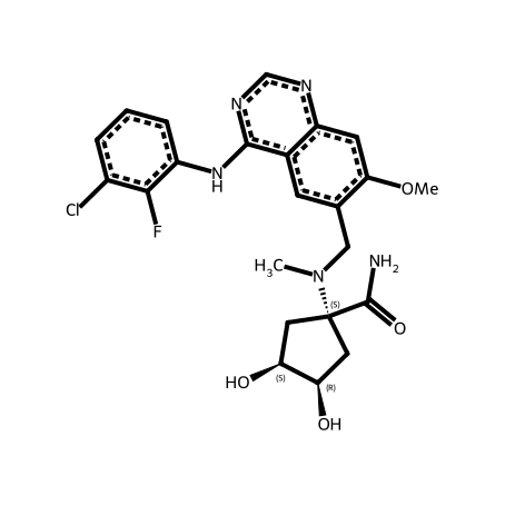 COc1cc2ncnc(Nc3cccc(Cl)c3F)c2cc1CN(C)[C@]1(C(N)=O)C[C@@H](O)[C@@H](O)C1